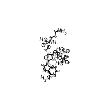 NCCCNP(=O)(O)OC[C@H]1O[C@@H](n2cnc3c(N)ncnc32)C[C@@H]1O.O=P(O)(O)OP(=O)(O)O